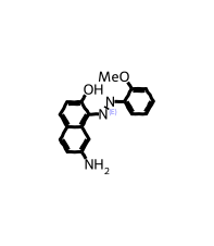 COc1ccccc1/N=N/c1c(O)ccc2ccc(N)cc12